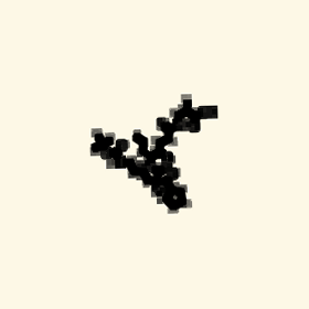 CCC[C@H](NC(=O)[C@@](N)(CCCCNC(=O)OC(C)(C)C)C(=O)C1CCCC1)C(=O)CCC(=S)NCC(C)C(=O)O